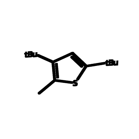 Cc1sc(C(C)(C)C)cc1C(C)(C)C